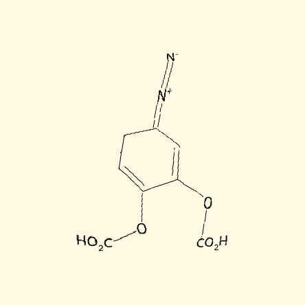 [N-]=[N+]=C1C=C(OC(=O)O)C(OC(=O)O)=CC1